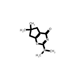 CN(C)c1nc(=O)c2c(o1)CC(C)(C)C2